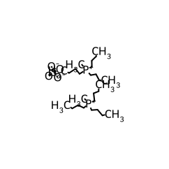 CCCC[P+](C)(CCCC)CCCC.CCCC[P+](C)(CCCC)CCCC.O=S(=O)([O-])[O-]